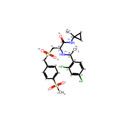 CS(=O)(=O)c1ccc(CS(=O)(=O)C[C@H](N[C@H](c2ccc(F)cc2F)C(F)(F)F)C(=O)NC2(C#N)CC2)cc1